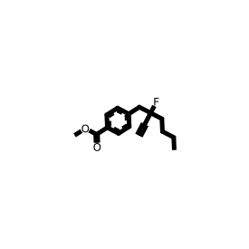 C#CC(F)(CCCC)Cc1ccc(C(=O)OC)cc1